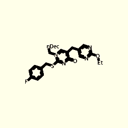 CCCCCCCCCCCn1cc(Cc2cnc(OCC)nc2)c(=O)nc1SCc1ccc(F)cc1